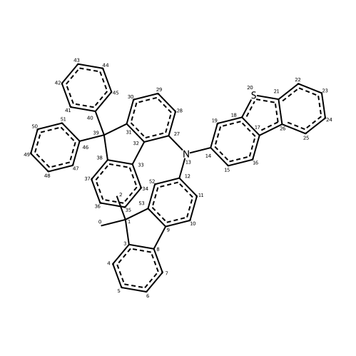 CC1(C)c2ccccc2-c2ccc(N(c3ccc4c(c3)sc3ccccc34)c3cccc4c3-c3ccccc3C4(c3ccccc3)c3ccccc3)cc21